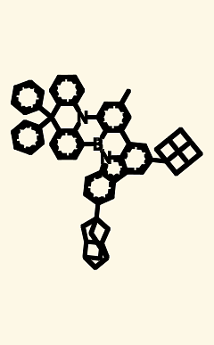 Cc1cc2c3c(c1)N1c4ccccc4C(c4ccccc4)(c4ccccc4)c4cccc(c41)B3n1c3ccc(C45CC6CC7CC6(C4)C7C5)cc3c3cc(C45CC6CC7CC(C4)C765)cc-2c31